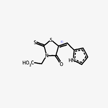 O=C(O)CN1C(=O)/C(=C\c2ccc[nH]2)SC1=S